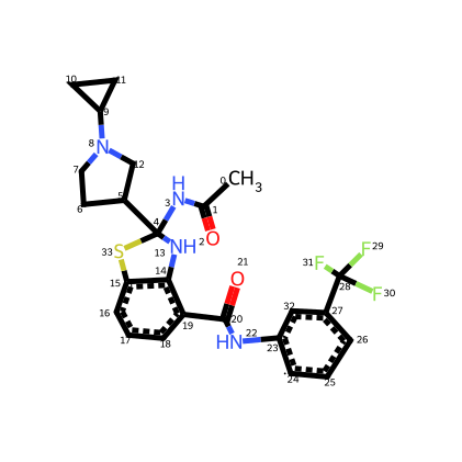 CC(=O)NC1(C2CCN(C3CC3)C2)Nc2c(cccc2C(=O)Nc2[c]ccc(C(F)(F)F)c2)S1